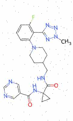 Cn1nnc(-c2c(F)cccc2N2CCC(CNC(=O)C3(NC(=O)c4cncnc4)CC3)CC2)n1